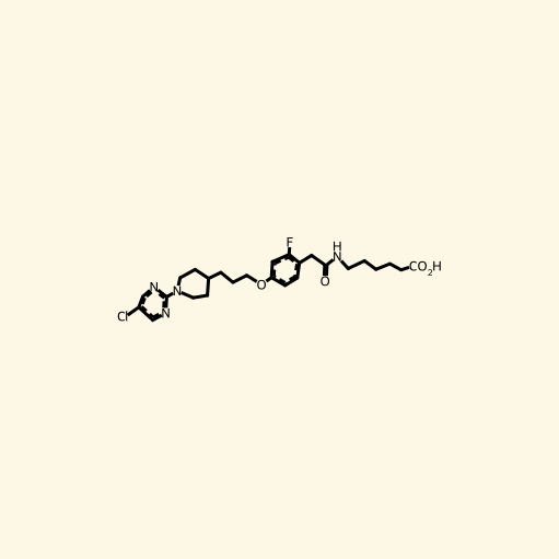 O=C(O)CCCCCNC(=O)Cc1ccc(OCCCC2CCN(c3ncc(Cl)cn3)CC2)cc1F